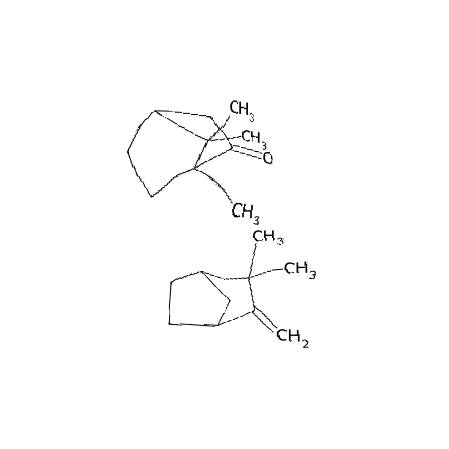 C=C1C2CCC(C2)C1(C)C.CC12CCC(CC1=O)C2(C)C